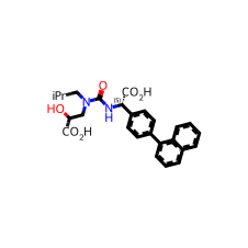 CC(C)CN(CC(O)C(=O)O)C(=O)N[C@H](C(=O)O)c1ccc(-c2cccc3ccccc23)cc1